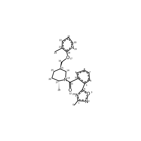 Cc1noc(-c2ccccc2C(=O)N2C[C@H](COc3ncccc3C)CC[C@H]2C)n1